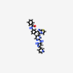 O=C(Nc1cccc(-c2nc3sccn3c2-c2ccnc(Nc3cc(-c4cccnc4)n[nH]3)n2)c1)c1ccccc1